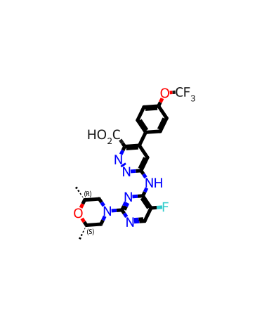 C[C@@H]1CN(c2ncc(F)c(Nc3cc(-c4ccc(OC(F)(F)F)cc4)c(C(=O)O)nn3)n2)C[C@H](C)O1